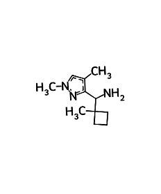 Cc1cn(C)nc1C(N)C1(C)CCC1